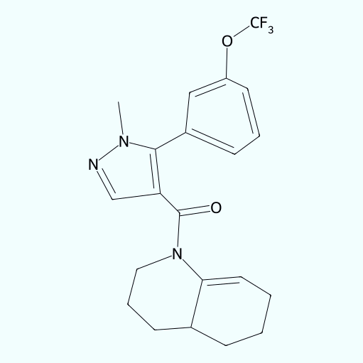 Cn1ncc(C(=O)N2CCCC3CCCC=C32)c1-c1cccc(OC(F)(F)F)c1